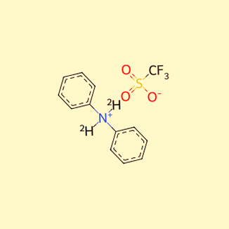 O=S(=O)([O-])C(F)(F)F.[2H][N+]([2H])(c1ccccc1)c1ccccc1